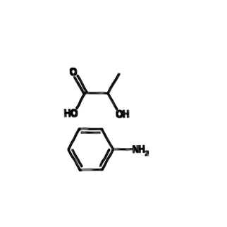 CC(O)C(=O)O.Nc1ccccc1